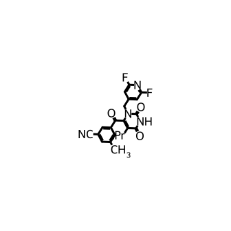 Cc1cc(C#N)cc(C(=O)c2c(C(C)C)c(=O)[nH]c(=O)n2Cc2cc(F)nc(F)c2)c1